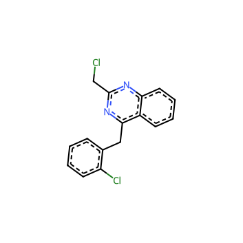 ClCc1nc(Cc2ccccc2Cl)c2ccccc2n1